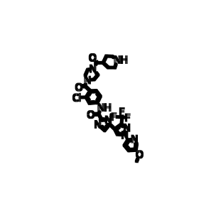 COc1ccc(-n2cc(-c3cnc(C(=O)Nc4ccc(C(=O)N5CCN(C(=O)C6CCNCC6)CC5)c(Cl)c4)n3C)c(C(F)(F)F)n2)nc1